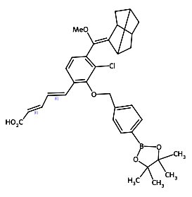 COC(=C1C2CC3CC2CC13)c1ccc(/C=C/C=C/C(=O)O)c(OCc2ccc(B3OC(C)(C)C(C)(C)O3)cc2)c1Cl